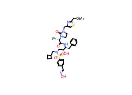 COCc1nc(CN2CCN([C@H](C(=O)N[C@@H](Cc3ccccc3)[C@H](O)CN(CC3CCC3)S(=O)(=O)c3ccc(/C=N/O)cc3)C(C)C)C2=O)cs1